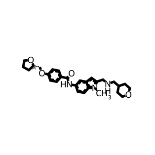 Cn1c(CNCC2CCOCC2)cc2cc(NC(=O)c3ccc(OC[C@@H]4CCCO4)cc3)ccc21